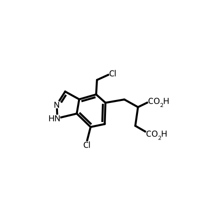 O=C(O)CC(Cc1cc(Cl)c2[nH]ncc2c1CCl)C(=O)O